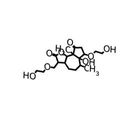 CC1CCC2C(COCCO)C(=O)OC2C2(C)C(=O)CC(OCCO)C12O